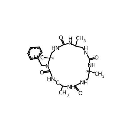 CC1CNC(=O)N[C@@H](C)CNC(=O)NC(C)CNC(=O)N(Cc2ccccc2)[C@@H](C)CNC(=O)N1